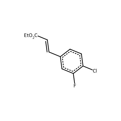 CCOC(=O)/C=C/c1ccc(Cl)c(F)c1